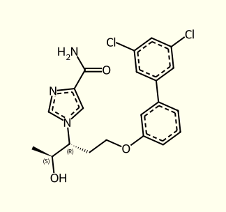 C[C@H](O)[C@@H](CCOc1cccc(-c2cc(Cl)cc(Cl)c2)c1)n1cnc(C(N)=O)c1